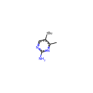 Cc1nc(N)ncc1C(C)(C)C